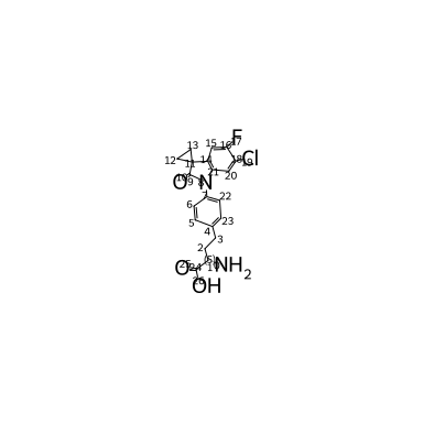 N[C@@H](CCc1ccc(N2C(=O)C3(CC3)c3cc(F)c(Cl)cc32)cc1)C(=O)O